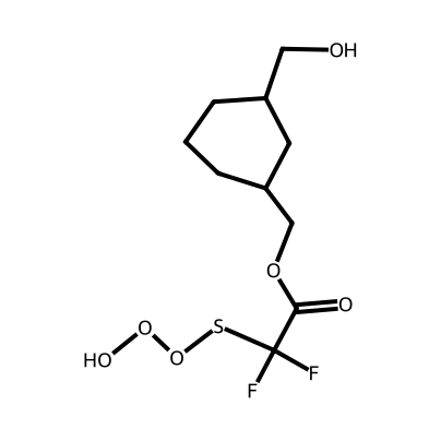 O=C(OCC1CCCC(CO)C1)C(F)(F)SOOO